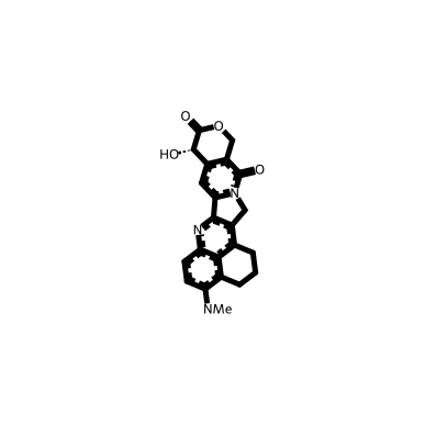 CNc1ccc2nc3c(c4c2c1CCC4)Cn1c-3cc2c(c1=O)COC(=O)[C@H]2O